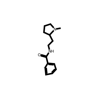 CN1CCCC1CCNC(=O)c1[c]cccc1